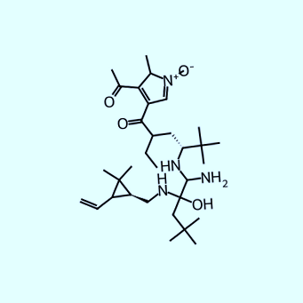 C=CC1[C@H](CNC(O)(CC(C)(C)C)C(N)N[C@H](CC(CC)C(=O)C2=C(C(C)=O)C(C)[N+]([O-])=C2)C(C)(C)C)C1(C)C